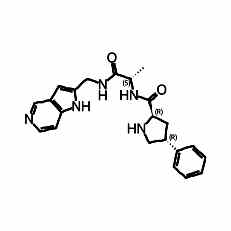 C[C@H](NC(=O)[C@H]1C[C@H](c2ccccc2)CN1)C(=O)NCc1cc2cnccc2[nH]1